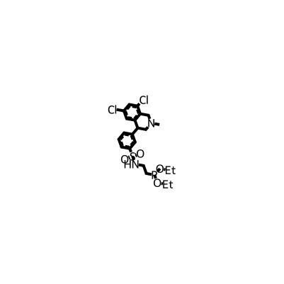 CCOP(CCNS(=O)(=O)c1cccc(C2CN(C)Cc3c(Cl)cc(Cl)cc32)c1)OCC